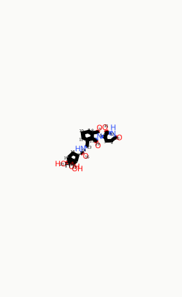 O=C1CCC(N2C(=O)c3cccc(CNC(=O)[C@H]4CC5C(O)[C@@H](O)C4[C@@H]5O)c3C2=O)C(=O)N1